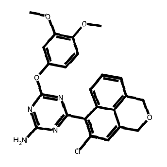 COc1ccc(Oc2nc(N)nc(-c3c(Cl)cc4c5c(cccc35)COC4)n2)cc1OC